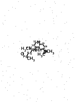 C=N/C(=C\C=C(/C)C=O)Nc1ccnc2ccc(N(C)C)cc12